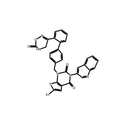 CCc1cc2c(=O)n(-c3cnc4ccccc4c3)c(=O)n(Cc3ccc(-c4ccccc4C4=NOC(=O)NC4)cc3)c2s1